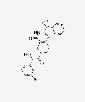 O=C(C(O)c1cncc(Br)c1)N1CCc2nc(C3(c4ccccc4)CC3)[nH]c(=O)c2C1